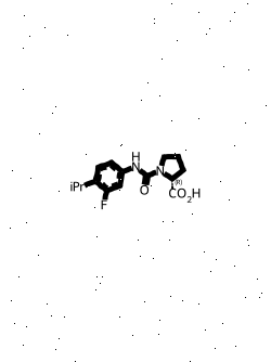 CC(C)c1ccc(NC(=O)N2CCC[C@@H]2C(=O)O)cc1F